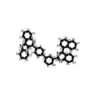 c1cc(-c2ccc(-c3nc4ccccc4c4nc5ccccn5c34)cc2)cc(-c2nc(-c3cccc4ccccc34)c3ccccc3n2)c1